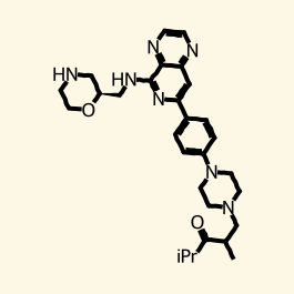 CC(C)C(=O)C(C)CN1CCN(c2ccc(-c3cc4nccnc4c(NC[C@@H]4CNCCO4)n3)cc2)CC1